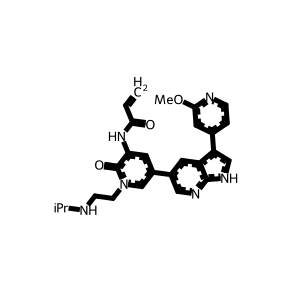 C=CC(=O)Nc1cc(-c2cnc3[nH]cc(-c4ccnc(OC)c4)c3c2)cn(CCNC(C)C)c1=O